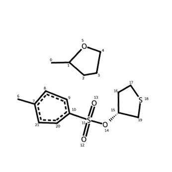 CC1CCCO1.Cc1ccc(S(=O)(=O)O[C@@H]2CCSC2)cc1